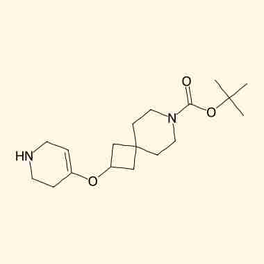 CC(C)(C)OC(=O)N1CCC2(CC1)CC(OC1=CCNCC1)C2